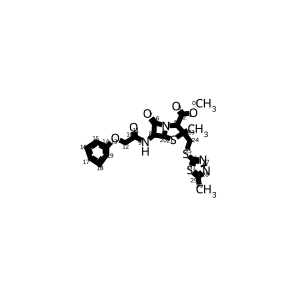 COC(=O)C1N2C(=O)C(NC(=O)COc3ccccc3)C2SC1(C)CSc1nnc(C)s1